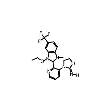 [H]/N=C1\OCCN1c1cccnc1C1N(C)c2ccc(C(F)(F)F)cc2N1OCC